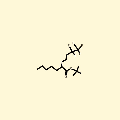 CCCCCC(SCCC(F)(F)C(F)(F)F)C(=O)OC(C)(C)C